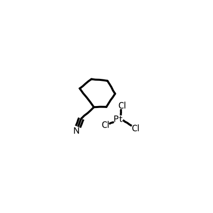 N#CC1CCCCC1.[Cl][Pt]([Cl])[Cl]